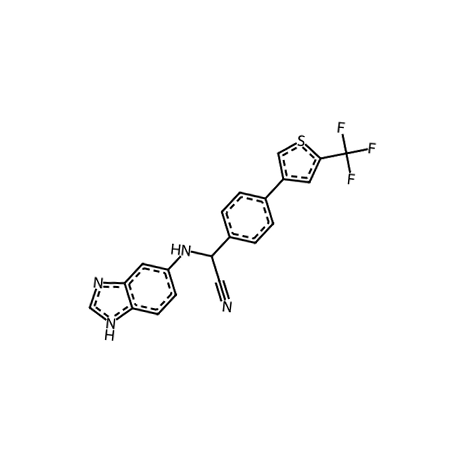 N#CC(Nc1ccc2[nH]cnc2c1)c1ccc(-c2csc(C(F)(F)F)c2)cc1